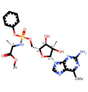 COc1nc(N)nc2c1ncn2[C@@H]1O[C@H](COP(=O)(N[C@@H](C)C(=O)OC(C)C)Oc2ccccc2)[C@@H](O)[C@@]1(C)O